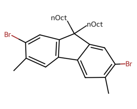 CCCCCCCCC1(CCCCCCCC)c2cc(Br)c(C)cc2-c2cc(C)c(Br)cc21